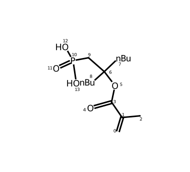 C=C(C)C(=O)OC(CCCC)(CCCC)CP(=O)(O)O